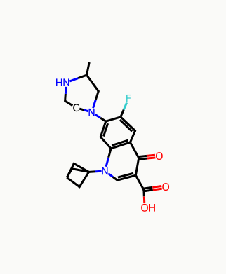 CC1CN(c2cc3c(cc2F)c(=O)c(C(=O)O)cn3C23CC(C2)C3)CCN1